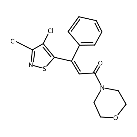 O=C(/C=C(\c1ccccc1)c1snc(Cl)c1Cl)N1CCOCC1